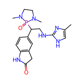 Cc1c[nH]c(NCC(c2ccc3c(c2)CC(=O)N3)P2(=O)N(C)CCN2C)n1